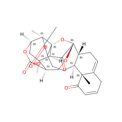 C[C@]12C(=O)C=CCC1=CC[C@@H]1[C@@H]2CC[C@@]2(O)C(=O)O[C@@]3(C)[C@H]4C[C@]5(C)[C@@H](CO[C@@]16O[C@]23[C@H]5C6=O)C(=O)O4